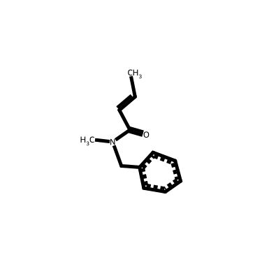 C/C=C/C(=O)N(C)Cc1ccccc1